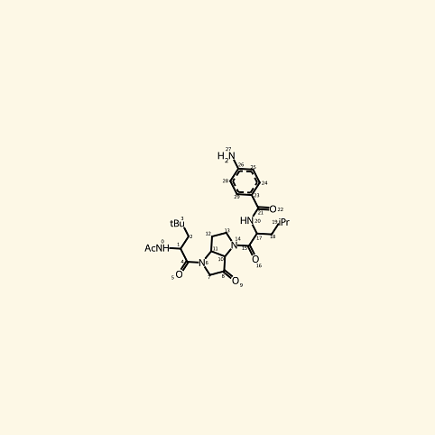 CC(=O)NC(CC(C)(C)C)C(=O)N1CC(=O)C2C1CCN2C(=O)C(CC(C)C)NC(=O)c1ccc(N)cc1